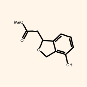 COC(=O)CC1OCc2c(O)cccc21